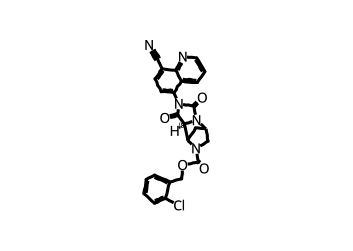 N#Cc1ccc(N2C(=O)[C@@H]3C4CC(CN4C(=O)OCc4ccccc4Cl)N3C2=O)c2cccnc12